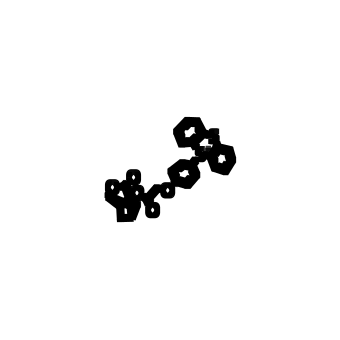 O=C(COc1ccc([S+]2c3ccccc3Sc3ccccc32)cc1)OC1C2CC3C(=O)OC1C3C2